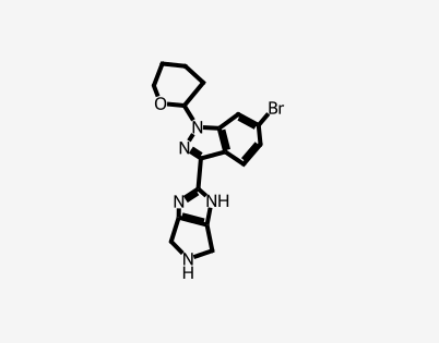 Brc1ccc2c(-c3nc4c([nH]3)CNC4)nn(C3CCCCO3)c2c1